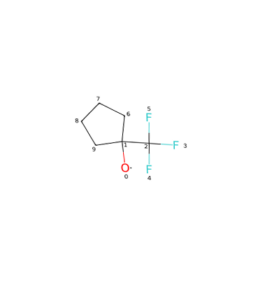 [O]C1(C(F)(F)F)CCCC1